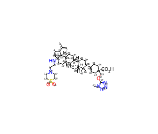 C=C(C)C1CC[C@]2(NCCN3CCS(=O)(=O)CC3)CC[C@]3(C)[C@H](CC[C@@H]4[C@@]5(C)CC=C(C6=CCC(COc7nnnn7C)(C(=O)O)CC6)C(C)(C)[C@@H]5CC[C@]43C)[C@@H]12